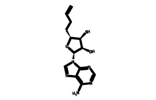 C=CCC[C@H]1O[C@@H](n2cnc3c(N)ncnc32)[C@H](O)[C@@H]1S